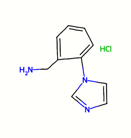 Cl.NCc1ccccc1-n1ccnc1